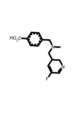 CN(Cc1ccc(C(=O)O)cc1)CC1C=C(F)C=NC1